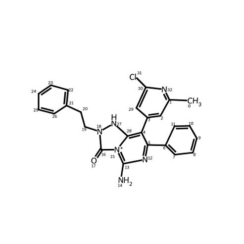 Cc1cc(-c2c(-c3ccccc3)nc(N)[n+]3c(=O)n(CCc4ccccc4)[nH]c23)cc(Cl)n1